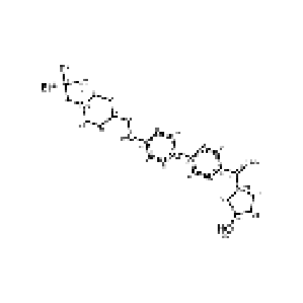 CCC(F)(CC)CN1CCC(COc2ccc(-c3ccc(C(=O)N4CCC(O)C4)cc3)cc2)CC1